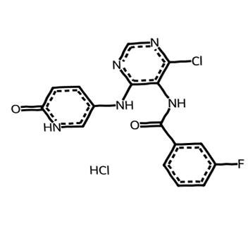 Cl.O=C(Nc1c(Cl)ncnc1Nc1ccc(=O)[nH]c1)c1cccc(F)c1